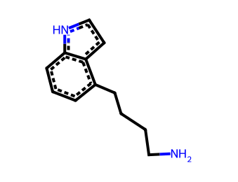 NCCCCc1cccc2[nH]ccc12